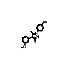 [CH2]Cc1ccc(-n2nc(C)c(-c3cccc(OC)c3)c2C)cc1